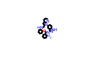 Nc1n[nH]c2ccc(-n3c(CNc4ccccc4OCc4ccccc4)cc4[c]ccnc43)cc12